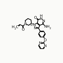 C=CC(=O)N1CCC[C@@H](n2nc(-c3ccc(Oc4ncccn4)cc3)c3c(N)n[nH]c(=O)c32)C1